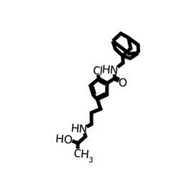 CC(O)CNCCCc1ccc(Cl)c(C(=O)NCC23CC4CC(CC(C4)C2)C3)c1